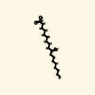 CCCCCCCCC(Br)CCCCCCCCC([O])=O